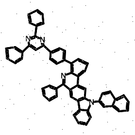 c1ccc(-c2cc(-c3ccc(-c4cccc5c4nc(-c4ccccc4)c4cc6c7ccccc7n(-c7ccc8ccccc8c7)c6cc45)cc3)nc(-c3ccccc3)n2)cc1